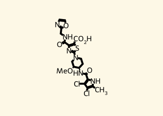 CO[C@H]1CN(c2nc(C(=O)NCc3ncco3)c(C(=O)O)s2)CC[C@H]1NC(=O)c1[nH]c(C)c(Cl)c1Cl